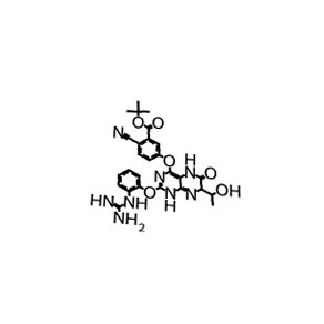 CC(O)C1N=C2NC(Oc3ccccc3NC(=N)N)=NC(Oc3ccc(C#N)c(C(=O)OC(C)(C)C)c3)=C2NC1=O